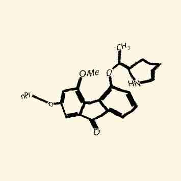 CCCOc1cc(OC)c2c(c1)C(=O)c1cccc(OC(C)C3CCCN3)c1-2